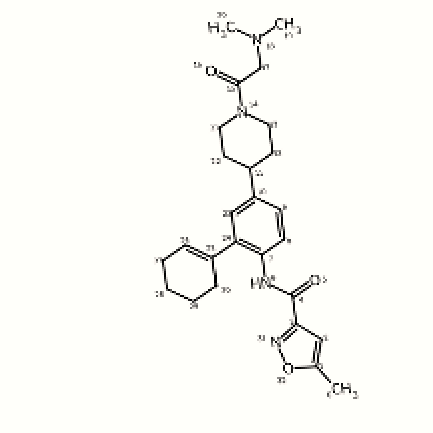 Cc1cc(C(=O)Nc2ccc(C3CCN(C(=O)CN(C)C)CC3)cc2C2=CCCCC2)no1